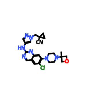 CC1(N2CCN(c3cc4nc(Nc5cnn(CC6(C#N)CC6)c5)ncc4cc3Cl)CC2)COC1